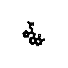 CNCCC(Oc1cccc2ncn(C)c(=O)c12)c1cccs1